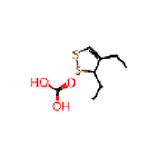 CCC1=CSSC1CC.O=C(O)O